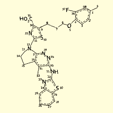 Cc1ccc(OCCCc2sc(N3CCCc4c3nnc(Nc3nc5ccccc5s3)c4C)nc2C(=O)O)c(F)c1